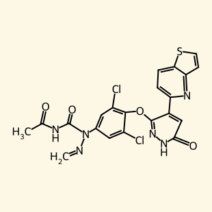 C=NN(C(=O)NC(C)=O)c1cc(Cl)c(Oc2n[nH]c(=O)cc2-c2ccc3sccc3n2)c(Cl)c1